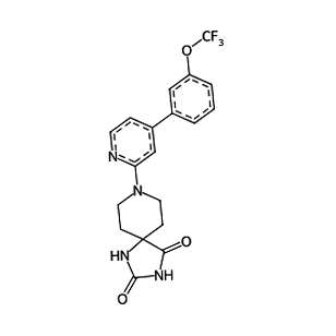 O=C1NC(=O)C2(CCN(c3cc(-c4cccc(OC(F)(F)F)c4)ccn3)CC2)N1